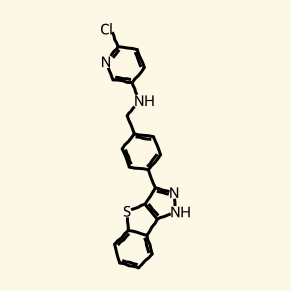 Clc1ccc(NCc2ccc(-c3n[nH]c4c3sc3ccccc34)cc2)cn1